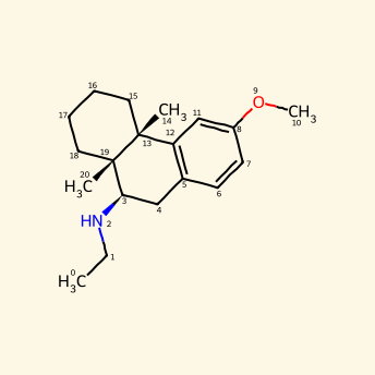 CCN[C@@H]1Cc2ccc(OC)cc2[C@@]2(C)CCCC[C@@]12C